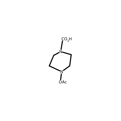 CC(=O)ON1CCN(C(=O)O)CC1